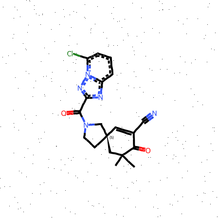 CC1(C)C[C@@]2(C=C(C#N)C1=O)CCN(C(=O)c1nc3cccc(Cl)n3n1)C2